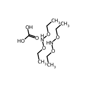 CCONOCC.CCONOCC.O=C(O)O